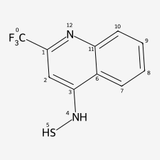 FC(F)(F)c1cc(NS)c2ccccc2n1